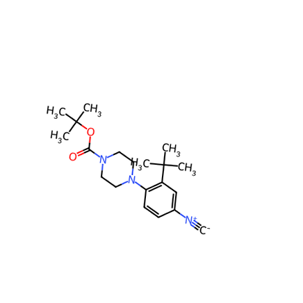 [C-]#[N+]c1ccc(N2CCN(C(=O)OC(C)(C)C)CC2)c(C(C)(C)C)c1